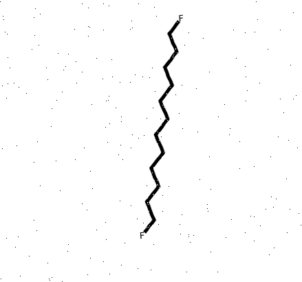 FCCCCCCCCCCCCF